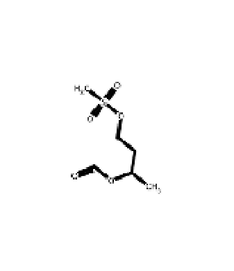 CC(CCOS(C)(=O)=O)OC=O